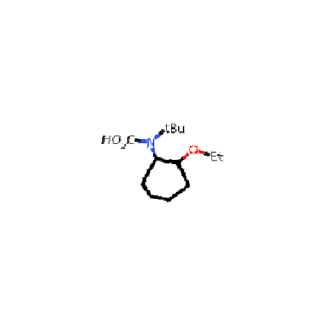 CCOC1CCCCC1N(C(=O)O)C(C)(C)C